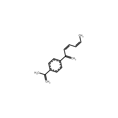 C=C(C)c1ccc(C(=C)/C=C\C=C/C)cc1